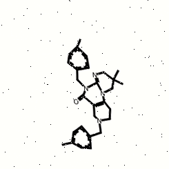 Cc1ccc(CN2CCC3=C(C2)C(=O)N(Cc2ccc(C)cc2)C2=NCC(C)(C)CN23)cc1